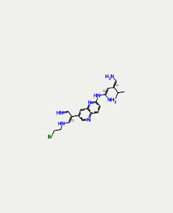 CC(C)C(=C/N)/C=C(\N)Nc1ccc2ncc(/C(C=N)=C/NCCBr)cc2n1